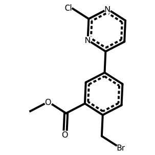 COC(=O)c1cc(-c2ccnc(Cl)n2)ccc1CBr